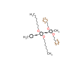 CCCCCCCCCCOc1cc(C#Cc2cc(OCCCC3SSSSS3)c(C)cc2OCCCC2SSSSS2)c(OCCCCCCCCCC)cc1C#Cc1ccc(C)cc1